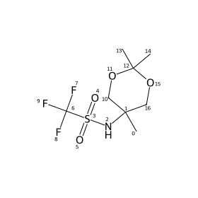 CC1(NS(=O)(=O)C(F)(F)F)COC(C)(C)OC1